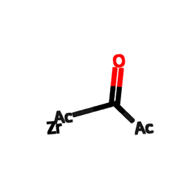 CC(=O)C(=O)C(C)=O.[Zr]